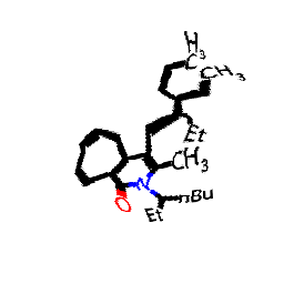 C\C=C/C(=C\C)C(=C/c1c2c(c(=O)n(C(CC)CCCC)c1C)CCC=CC2)/CC